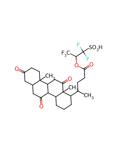 CC(CCC(=O)OC(C(F)(F)F)C(F)(F)S(=O)(=O)O)C1CCCC2C3C(=O)CC4CC(=O)CCC4(C)C3CC(=O)C12C